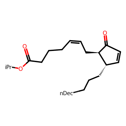 CCCCCCCCCCCCC[C@H]1C=CC(=O)[C@@H]1C/C=C\CCCC(=O)OC(C)C